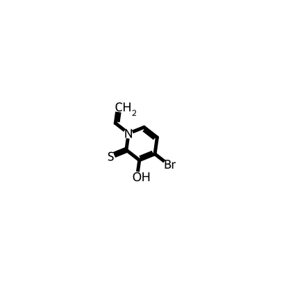 C=Cn1ccc(Br)c(O)c1=S